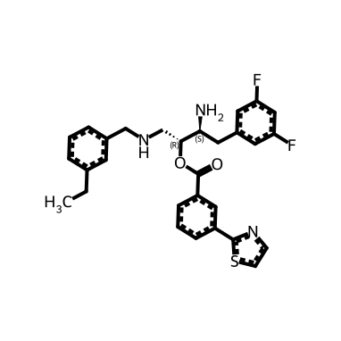 CCc1cccc(CNC[C@@H](OC(=O)c2cccc(-c3nccs3)c2)[C@@H](N)Cc2cc(F)cc(F)c2)c1